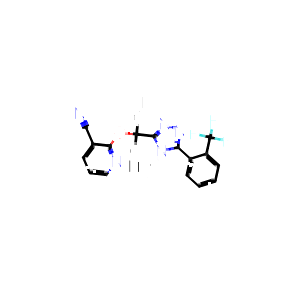 Cn1c(-c2ccccc2C(F)(F)F)nnc1C(C)(C)Oc1ncccc1C#N